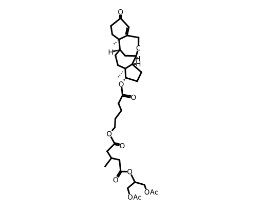 CC(=O)OCC(COC(C)=O)OC(=O)CC(C)CC(=O)OCCCCC(=O)O[C@H]1CC[C@H]2[C@@H]3CCC4=CC(=O)CC[C@]4(C)[C@@H](CC[C@]12C)C3